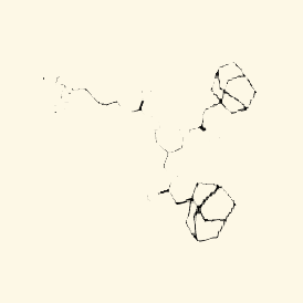 CCN(CC)CCCOC(=O)OCC(COC(=O)CC12CC3CC(CC(C3)C1)C2)COC(=O)CC12CC3CC(CC(C3)C1)C2